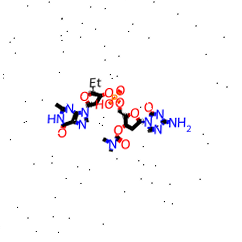 CC[C@H]1O[C@@H](n2cnc3c(=O)[nH]c(C)nc32)CC1OP(=O)(O)OC[C@H]1O[C@@H](n2cnc(N)nc2=O)CC1OC(=O)N(C)C